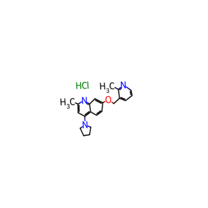 Cc1cc(N2CCCC2)c2ccc(OCc3cccnc3C)cc2n1.Cl